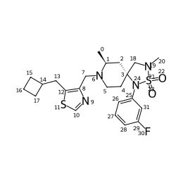 C[C@H]1C[C@]2(CCN1Cc1ncsc1CC1CCC1)CN(C)S(=O)(=O)N2c1cccc(F)c1